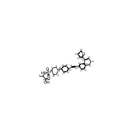 CC(NS(=O)(=O)N1CCN(c2ccc(C#Cc3ccc4c(c3)C(c3ccco3)=CCC4)cc2)CC1)C(=O)O